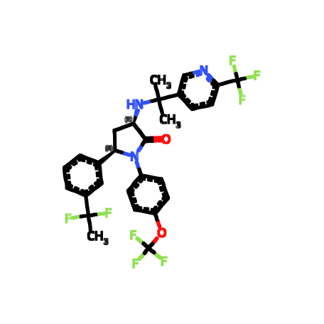 CC(F)(F)c1cccc([C@H]2C[C@@H](NC(C)(C)c3ccc(C(F)(F)F)nc3)C(=O)N2c2ccc(OC(F)(F)F)cc2)c1